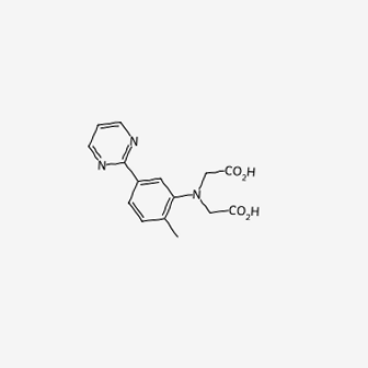 Cc1ccc(-c2ncccn2)cc1N(CC(=O)O)CC(=O)O